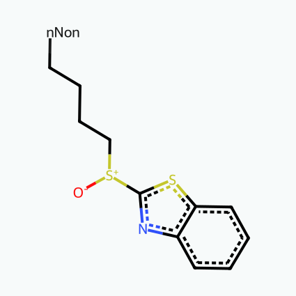 CCCCCCCCCCCCC[S+]([O-])c1nc2ccccc2s1